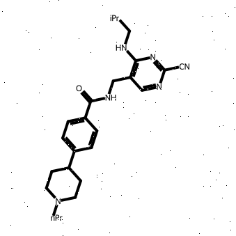 CCCN1CCC(c2ccc(C(=O)NCc3cnc(C#N)nc3NCC(C)C)cc2)CC1